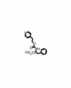 O=C(N[C@@H](Cc1ccccc1)C(=O)O)OCCc1ccncc1